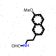 COc1ccc2ccc(CCNC=O)cc2c1